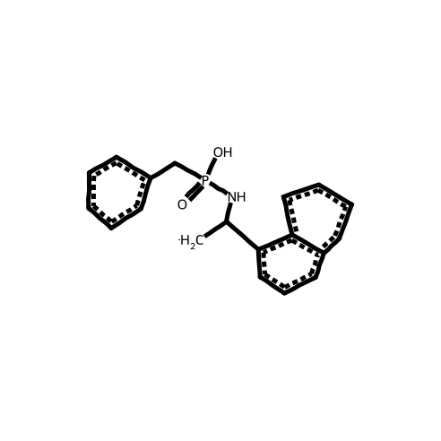 [CH2]C(NP(=O)(O)Cc1ccccc1)c1cccc2ccccc12